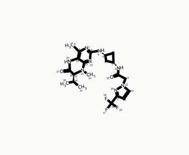 Cc1nc(N[C@H]2C[C@@H](NC(=O)Cn3ccc(C(F)(F)F)n3)C2)nc2c1NC(=O)[C@H](C(C)C)N2C